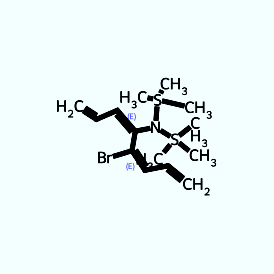 C=C/C=C(Br)\C(=C/C=C)N(S(C)(C)C)S(C)(C)C